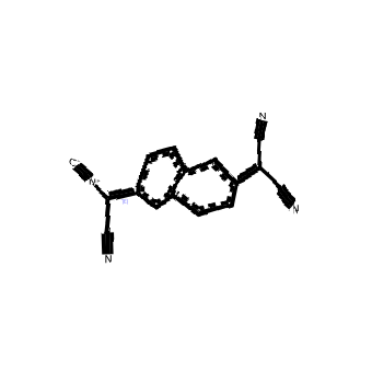 [C-]#[N+]/C(C#N)=c1\ccc2cc(=C(C#N)C#N)ccc2c1